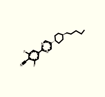 CCCCC[C@H]1CC[C@H](c2cnc(-c3cc(F)c(C#N)c(F)c3)nc2)CC1